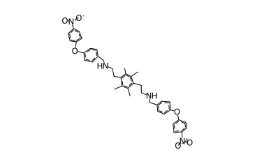 Cc1c(C)c(CCNCc2ccc(Oc3ccc([N+](=O)[O-])cc3)cc2)c(C)c(C)c1CCNCc1ccc(Oc2ccc([N+](=O)[O-])cc2)cc1